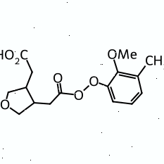 COc1c(C)cccc1OOC(=O)CC1COCC1CC(=O)O